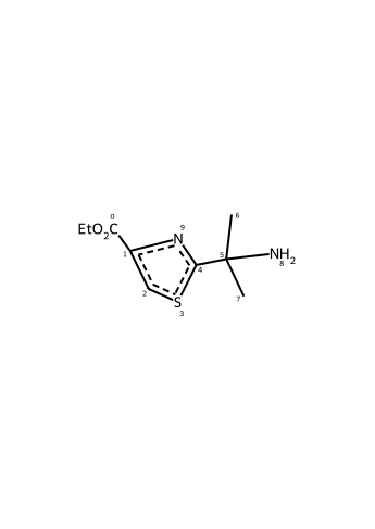 CCOC(=O)c1csc(C(C)(C)N)n1